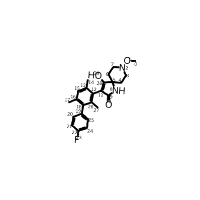 CON1CCC2(CC1)NC(=O)C(c1c(C)cc(C)c(-c3ccc(F)cc3)c1C)=C2O